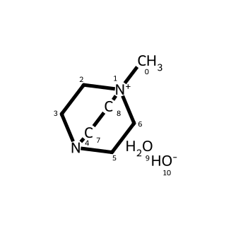 C[N+]12CCN(CC1)CC2.O.[OH-]